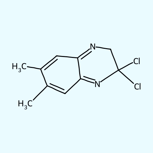 Cc1cc2c(cc1C)=NC(Cl)(Cl)CN=2